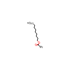 CCCCCCCCCCCCCCCCOC(=O)C(C)C